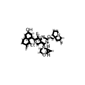 CCc1c(F)ccc2cc(O)cc(-c3ncc4c(N5CCO[C@@H]6C[C@@H]65)nc(OC[C@@]56CCCN5C[C@H](F)C6)nc4c3F)c12